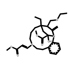 C=C1C(COCC)C2(CC)CCCN(/C=C/C(=O)OC)CCc3ccccc3N1C(O)(C(=O)OC)C2